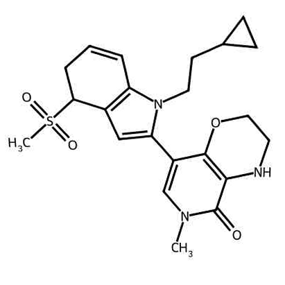 Cn1cc(-c2cc3c(n2CCC2CC2)C=CCC3S(C)(=O)=O)c2c(c1=O)NCCO2